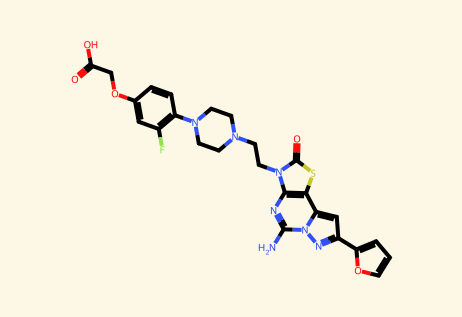 Nc1nc2c(sc(=O)n2CCN2CCN(c3ccc(OCC(=O)O)cc3F)CC2)c2cc(-c3ccco3)nn12